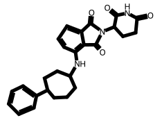 O=C1CCC(N2C(=O)c3cccc(NC4CCCC(c5ccccc5)CC4)c3C2=O)C(=O)N1